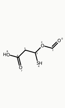 O=COC(S)CC(=O)O